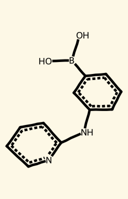 OB(O)c1cccc(Nc2ccccn2)c1